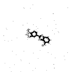 CC(C)n1nnc2cc(-c3nc4c(Br)cccc4o3)ccc21